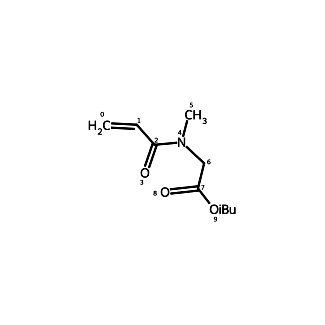 C=CC(=O)N(C)CC(=O)OCC(C)C